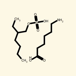 CCCCC(CC)COS(=O)(=O)O.NCCCCCC(=O)O